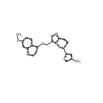 COc1ccc2c(OCc3nnc4ccc(-c5cc(C)cs5)nn34)ccnc2c1